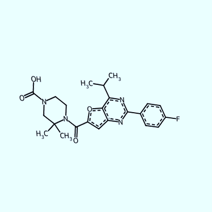 CC(C)c1nc(-c2ccc(F)cc2)nc2cc(C(=O)N3CCN(C(=O)O)CC3(C)C)oc12